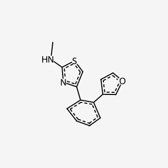 CNc1nc(-c2ccccc2-c2ccoc2)cs1